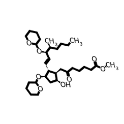 CCCC[C@H](C)[C@@H](/C=C/[C@@H]1[C@@H](CC(=O)CCCCC(=O)OC)[C@@H](O)C[C@H]1OC1CCCCO1)OC1CCCCO1